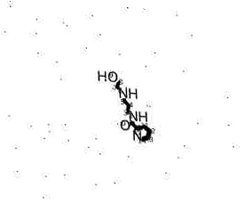 O=C(NCCCNCCO)c1ccccn1